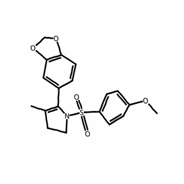 COc1ccc(S(=O)(=O)N2CCC(C)=C2c2ccc3c(c2)OCO3)cc1